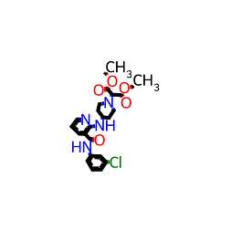 CCOC(=O)C(C(=O)OCC)N1CCC(Nc2ncccc2C(=O)Nc2cccc(Cl)c2)CC1